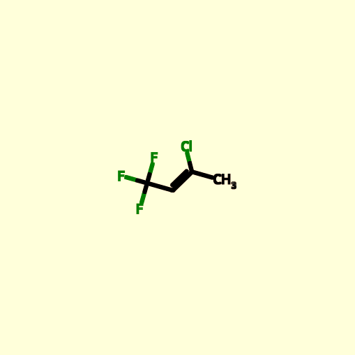 C/C(Cl)=C/C(F)(F)F